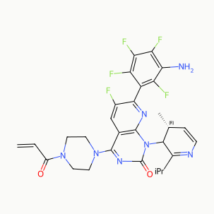 C=CC(=O)N1CCN(c2nc(=O)n(C3C(C(C)C)=NC=C[C@H]3C)c3nc(-c4c(F)c(N)c(F)c(F)c4F)c(F)cc23)CC1